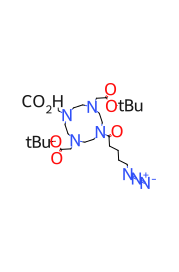 CC(C)(C)OC(=O)CN1CCN(CC(=O)O)CCN(CC(=O)OC(C)(C)C)CCN(C(=O)CCCCN=[N+]=[N-])CC1